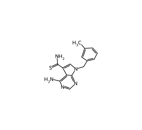 Cc1cccc(Cn2cc(C(N)=S)c3c(N)ncnc32)c1